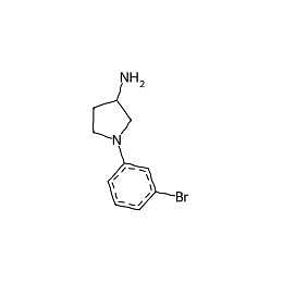 NC1CCN(c2cccc(Br)c2)C1